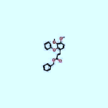 COc1ccc(/C=C/C(=O)OCc2ccccc2)c(Oc2ccccc2)c1OC